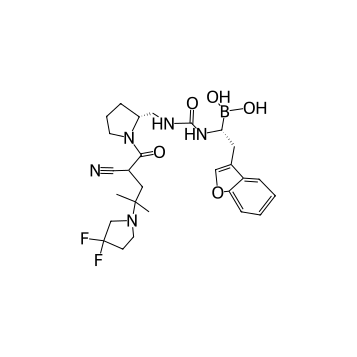 CC(C)(CC(C#N)C(=O)N1CCC[C@@H]1CNC(=O)N[C@@H](Cc1coc2ccccc12)B(O)O)N1CCC(F)(F)C1